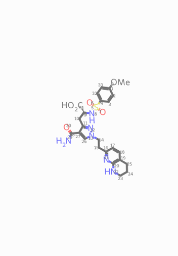 COc1ccc(S(=O)(=O)N[C@@H](Cc2nn(CCc3ccc4c(n3)NCCC4)cc2C(N)=O)C(=O)O)cc1